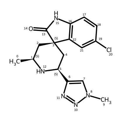 C[C@H]1C[C@@]2(C[C@@H](c3cn(C)nn3)N1)C(=O)Nc1ccc(Cl)cc12